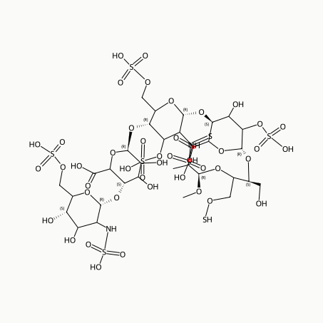 CO[C@H](OC(COS)[C@H](CO)O[C@@H]1OC(C(=O)O)[C@@H](O[C@H]2OC(COS(=O)(=O)O)[C@@H](O[C@@H]3OC(C(=O)O)[C@@H](O[C@H]4OC(COS(=O)(=O)O)[C@@H](O)C(O)C4NS(=O)(=O)O)C(O)C3O)C(OS(=O)(=O)O)C2NS(=O)(=O)O)C(O)C1OS(=O)(=O)O)C(C)N=S